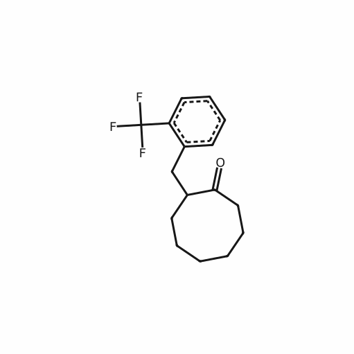 O=C1CCCCCCC1Cc1ccccc1C(F)(F)F